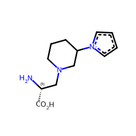 N[C@H](CN1CCCC(n2cccc2)C1)C(=O)O